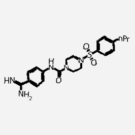 CCCc1ccc(S(=O)(=O)N2CCN(C(=O)Nc3ccc(C(=N)N)cc3)CC2)cc1